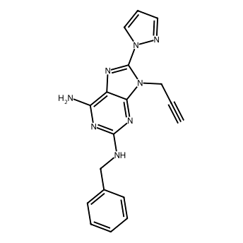 C#CCn1c(-n2cccn2)nc2c(N)nc(NCc3ccccc3)nc21